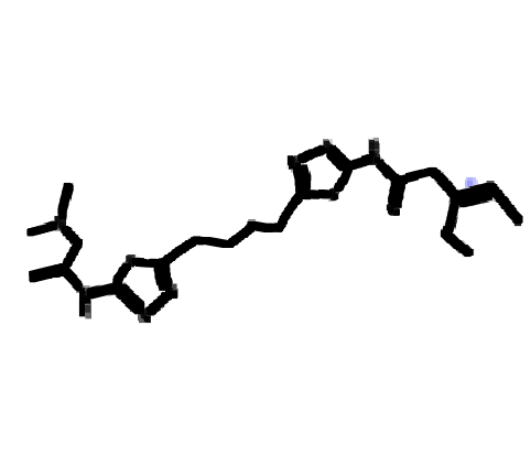 C=C(CN(C)C)Nc1nnc(CCCCc2nnc(NC(=O)C/C(=C/C)CC)s2)s1